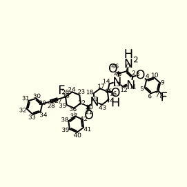 Nc1c(Oc2ccc(F)cc2)ncn(CC2(O)CCN(C(=O)[C@@H]3CC[C@](F)(C#Cc4ccccc4)C[C@H]3c3ccccc3)CC2)c1=O